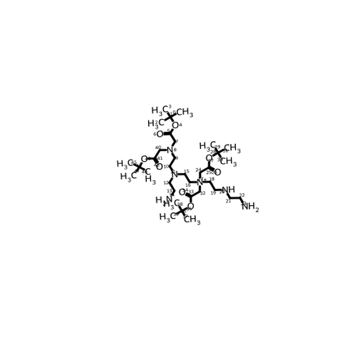 CC(C)(C)OC(=O)CN(CCN(CCN)CC[N+](CCNCCN)(CC(=O)OC(C)(C)C)CC(=O)OC(C)(C)C)CC(=O)OC(C)(C)C